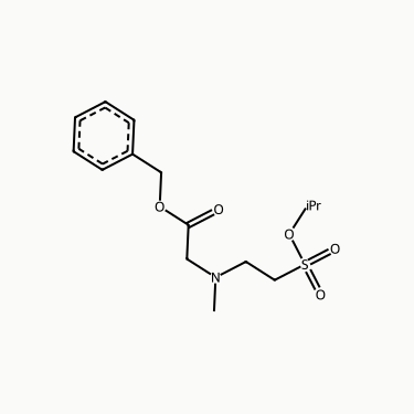 CC(C)OS(=O)(=O)CCN(C)CC(=O)OCc1ccccc1